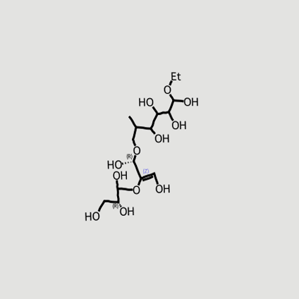 CCOC(O)C(O)C(O)C(O)C(C)CO[C@@H](O)/C(=C/O)OC(O)[C@H](O)CO